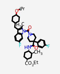 CCOC(=O)[C@H]1CC[C@H](NC(=O)C2(c3ccc(F)cc3)CCN(C(=O)n3c(C)c(CC4CCC(OC(C)C)CC4)c4ccc(F)cc43)CC2)[C@@H](C)C1